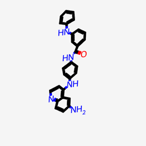 Nc1ccc2nccc(Nc3ccc(NC(=O)c4cccc(Nc5ccccc5)c4)cc3)c2c1